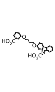 O=C(O)Cn1c2ccccc2c2ccc(OCCCCOc3cccc(C(=O)O)c3)cc21